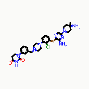 CC1(N)CCN(c2cnc(Sc3cccc(N4CCN(Cc5cccc(N6CCC(=O)NC6=O)c5)CC4)c3Cl)c(N)n2)CC1